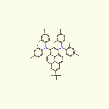 Cc1ccc(N(C2=CC(N(c3ccc(C)cc3C)c3ccc(C)cc3C)=C3C=CC4=CC(C(C)(C)C)=CC5=CC=C2C3C54)c2ccc(C)cc2C)c(C)c1